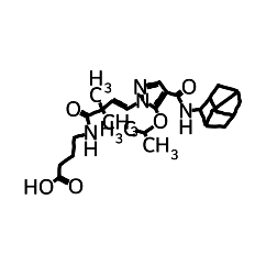 CC(C)Oc1c(C(=O)NC2C3CC4CC(C3)CC2C4)cnn1/C=C/C(C)(C)C(=O)NCCCC(=O)O